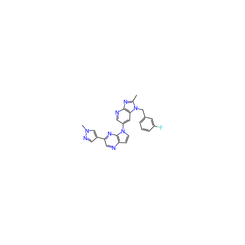 Cc1nc2ncc(-n3ccc4ncc(-c5cnn(C)c5)nc43)cc2n1Cc1cccc(F)c1